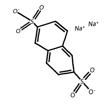 O=S(=O)([O-])c1ccc2cc(S(=O)(=O)[O-])ccc2c1.[Na+].[Na+]